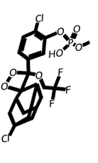 COP(=O)(O)Oc1cc(C2(OCC(F)(F)F)OOC23C2CC4CC3CC(Cl)(C4)C2)ccc1Cl